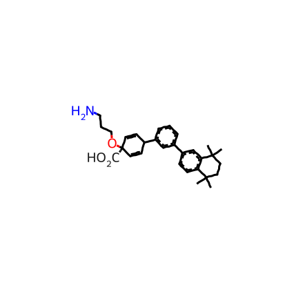 CC1(C)CCC(C)(C)c2cc(-c3cccc(C4C=CC(OCCCN)(C(=O)O)C=C4)c3)ccc21